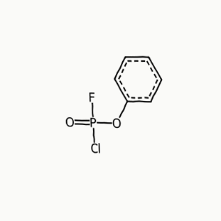 O=P(F)(Cl)Oc1ccccc1